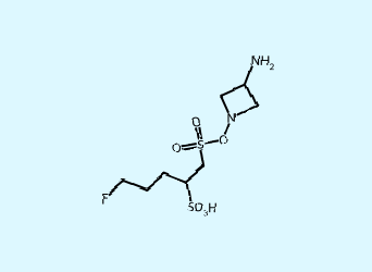 NC1CN(OS(=O)(=O)CC(CCCF)S(=O)(=O)O)C1